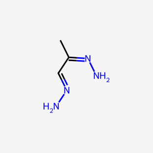 CC(C=NN)=NN